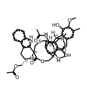 COc1c(C)cc2c(c1O)[C@H]1[C@@H]3[C@@H]4SC[C@]5(N[C@H](COC(C)=O)Cc6c5[nH]c5ccccc65)C(=O)OC[C@@H](c5c6c(c(C)c(OC(C)=O)c54)OCO6)N3C(O)(C2)CN1C